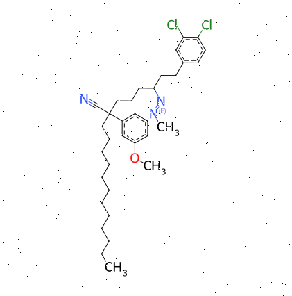 CCCCCCCCCCCCC(C#N)(CCCC(CCc1ccc(Cl)c(Cl)c1)/N=N/C)c1cccc(OC)c1